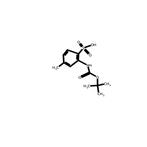 Cc1ccc(S(=O)(=O)O)c(NC(=O)OC(C)(C)C)c1